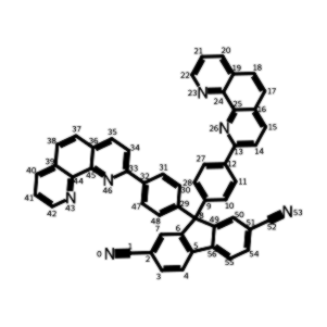 N#Cc1ccc2c(c1)C(c1ccc(-c3ccc4ccc5cccnc5c4n3)cc1)(c1ccc(-c3ccc4ccc5cccnc5c4n3)cc1)c1cc(C#N)ccc1-2